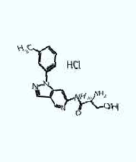 Cc1cccc(-n2ncc3cnc(NC(=O)[C@@H](N)CO)cc32)c1.Cl